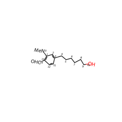 CNc1cc(CCCCCCO)ccc1C=O